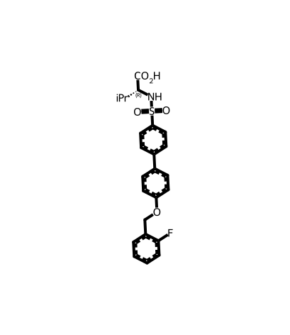 CC(C)[C@@H](NS(=O)(=O)c1ccc(-c2ccc(OCc3ccccc3F)cc2)cc1)C(=O)O